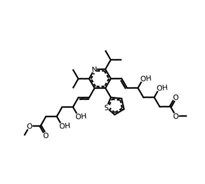 COC(=O)CC(O)CC(O)C=Cc1c(C(C)C)nc(C(C)C)c(C=CC(O)CC(O)CC(=O)OC)c1-c1cccs1